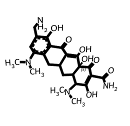 CN(C)c1cc(CN)c(O)c2c1CC1CC3C(N(C)C)C(O)=C(C(N)=O)C(=O)[C@@]3(O)C(O)=C1C2=O